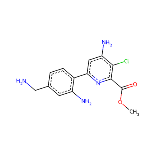 COC(=O)c1nc(-c2ccc(CN)cc2N)cc(N)c1Cl